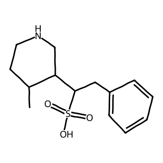 CC1CCNCC1C(Cc1ccccc1)S(=O)(=O)O